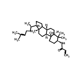 C=CC(=O)N[C@H]1CC[C@]2(C)[C@H]3CC[C@]4(C)[C@@H]([C@H](C)CCC=C(C)C)CC[C@H]4[C@@H]3CC[C@H]2C1(C)C